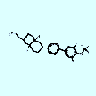 CCCC1CC[C@@H]2C[C@H](c3ccc(-c4cc(F)c(OC(F)(F)F)c(F)c4)cc3)CC[C@@H]2C1